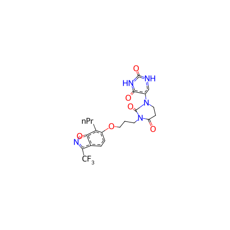 CCCc1c(OCCCN2C(=O)CCN(c3c[nH]c(=O)[nH]c3=O)C2=O)ccc2c(C(F)(F)F)noc12